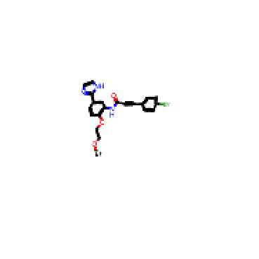 CCOCCOc1ccc(-c2ncc[nH]2)cc1NC(=O)C#Cc1ccc(Br)cc1